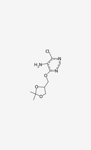 CC1(C)OCC(COc2ncnc(Cl)c2N)O1